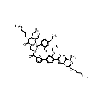 BOC(=O)[C@H](CC(=O)OCCCC)NC(=O)c1ccc(-c2ccc(C(=O)NCNC(=O)[C@H](CCCCC)[C@@H](CC)N(C=O)OC(=O)c3ccc(OC)cc3C)o2)cc1OCC